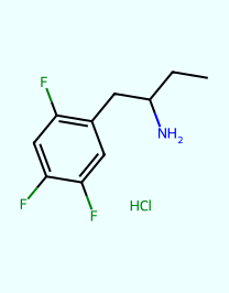 CCC(N)Cc1cc(F)c(F)cc1F.Cl